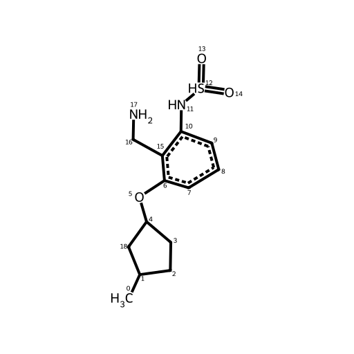 CC1CCC(Oc2cccc(N[SH](=O)=O)c2CN)C1